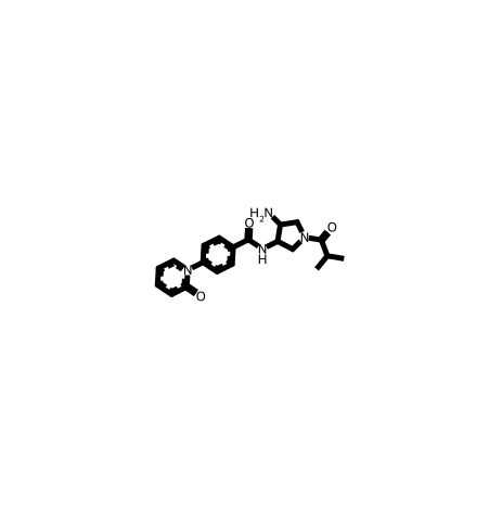 CC(C)C(=O)N1CC(N)C(NC(=O)c2ccc(-n3ccccc3=O)cc2)C1